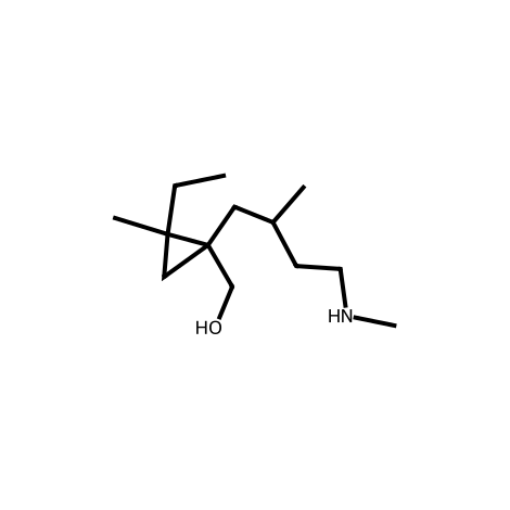 CCC1(C)CC1(CO)CC(C)CCNC